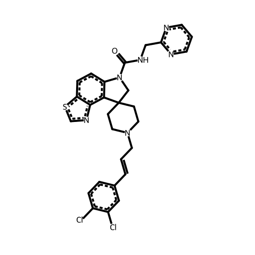 O=C(NCc1ncccn1)N1CC2(CCN(CC=Cc3ccc(Cl)c(Cl)c3)CC2)c2c1ccc1scnc21